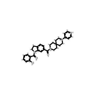 O=C(c1ccc2c(c1)N(C(=O)c1ccccc1Cl)CC2)N1CCC2(CC1)CCN(c1ccncc1)CC2